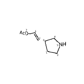 C1CCNC1.C=COC(C)=O